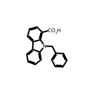 O=C(O)c1cccc2c3ccccc3n(Cc3ccccc3)c12